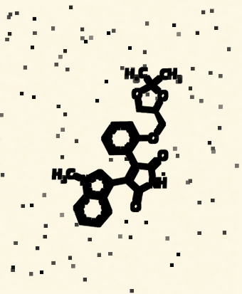 Cn1cc(C2=C(c3ccccc3OC[C@H]3COC(C)(C)O3)C(=O)NC2=O)c2ccccc21